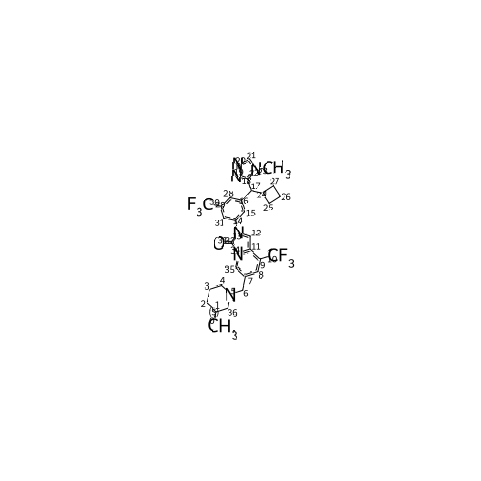 C[C@H]1CCCN(Cc2cc(C(F)(F)F)c3cn(-c4cc(C(c5nncn5C)C5CCC5)cc(C(F)(F)F)c4)c(=O)n3c2)C1